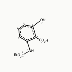 CCOC(=O)Nc1cccc(O)c1C(=O)O